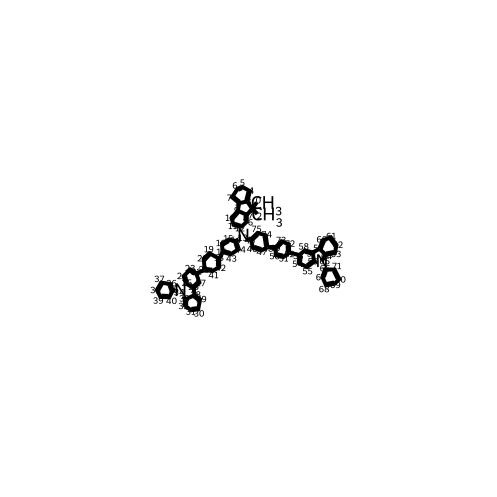 CC1(C)c2ccccc2-c2ccc(N(c3ccc(-c4ccc(-c5ccc6c(c5)c5ccccc5n6-c5ccccc5)cc4)cc3)c3ccc(-c4ccc(-c5ccc6c(c5)c5ccccc5n6-c5ccccc5)cc4)cc3)cc21